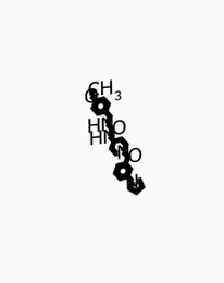 COc1ccc(CNC(=O)NC2CCN(C(=O)c3cccc(N4CCCC4)c3)CC2)cc1